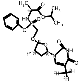 [2H]C([2H])([2H])c1cn([C@H]2C[C@H](I)[C@@H](OCP(=O)(N[C@@H](C)C(=O)OC(C)C)Oc3ccccc3)O2)c(=O)[nH]c1=O